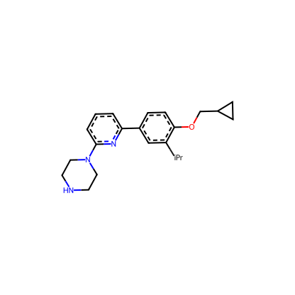 CC(C)c1cc(-c2cccc(N3CCNCC3)n2)ccc1OCC1CC1